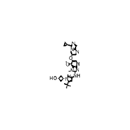 COc1c(Oc2cnc3cnc(C4CC4)n3c2)cnc2nc(Nc3cc(C(C)(C)C)n([C@H]4C[C@@H](O)C4)n3)n(C)c12